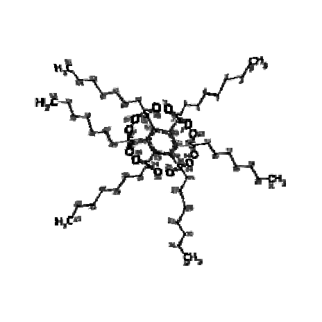 CCCCCCCS(=O)(=O)c1c(S(=O)(=O)CCCCCCC)c(S(=O)(=O)CCCCCCC)c(S(=O)(=O)CCCCCCC)c(S(=O)(=O)CCCCCCC)c1S(=O)(=O)CCCCCCC